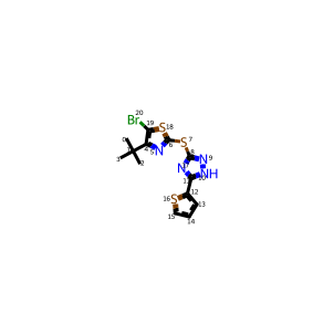 CC(C)(C)c1nc(Sc2n[nH]c(-c3cccs3)n2)sc1Br